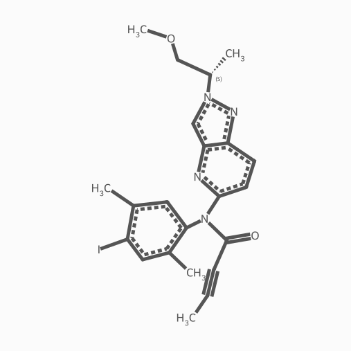 CC#CC(=O)N(c1ccc2nn([C@@H](C)COC)cc2n1)c1cc(C)c(I)cc1C